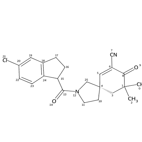 CC1(C)C[C@]2(C=C(C#N)C1=O)CCN(C(=O)C1CCc3cc(Cl)ccc31)C2